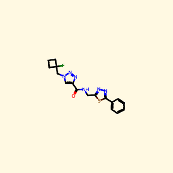 O=C(NCc1nnc(-c2ccccc2)s1)c1cn(CC2(F)CCC2)nn1